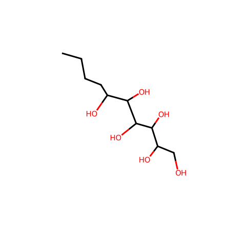 CCCCC(O)C(O)C(O)C(O)C(O)CO